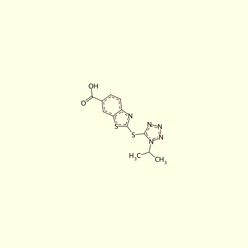 CC(C)n1nnnc1Sc1nc2ccc(C(=O)O)cc2s1